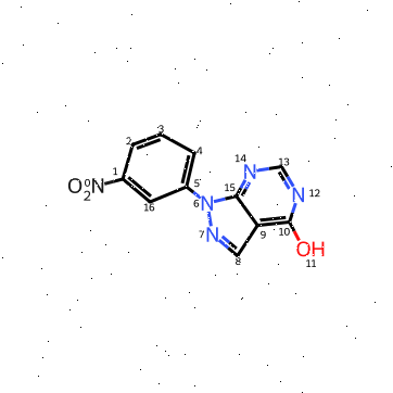 O=[N+]([O-])c1cccc(-n2ncc3c(O)ncnc32)c1